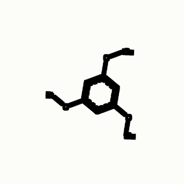 CCOc1cc(OC(C)(C)C)cc(OC(C)(C)C)c1